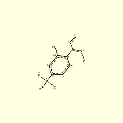 C=C/C(=N/C)c1ccc(C(F)(F)F)cc1C